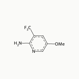 COc1cnc(N)c(C(F)(F)F)c1